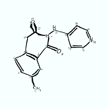 Cc1ccc2c(c1)C(=O)N(Nc1ccncc1)C(=O)C2